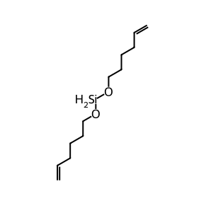 C=CCCCCO[SiH2]OCCCCC=C